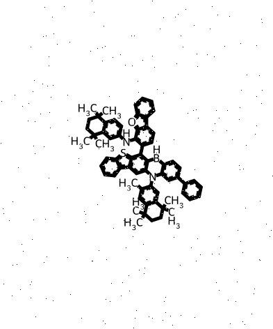 Cc1cc2c(cc1N1c3cc(-c4ccccc4)ccc3Bc3c1cc1c(sc4ccccc41)c3-c1ccc3c(oc4ccccc43)c1Nc1ccc3c(c1)C(C)(C)CCC3(C)C)C(C)(C)CCC2(C)C